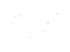 Cl.NC(C=O)N1CCC(Oc2cncc(Cl)c2)CC1